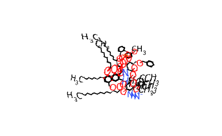 CCCCCCCCCCC[C@H](CC(=O)O[C@@H]1[C@@H](N=[N+]=[N-])[C@H](O[Si](C)(C)C(C)(C)C)O[C@H](CO[C@@H]2O[C@H](COCc3ccccc3)[C@@H](OP3(=O)OCc4ccccc4CO3)[C@H](OC(=O)C[C@@H](CCCCCCCCCCC)OCc3ccc(OC)cc3)[C@H]2NC(=O)C[C@@H](CCCCCCCCCCC)OC(=O)CCCCCCCCC)[C@H]1OCc1ccccc1)OCc1ccccc1